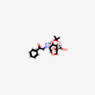 CC1(C)O[C@H]2[C@@H](O1)[C@]1(CO)COC(O1)[C@@H]2NCC(=O)c1ccccc1